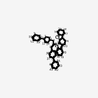 C(=C(\Cc1ccc(-c2ccccc2)cc1)n1c2ccccc2c2ccc3c4ccccc4oc3c21)/c1ccc(-c2ccccc2)cc1